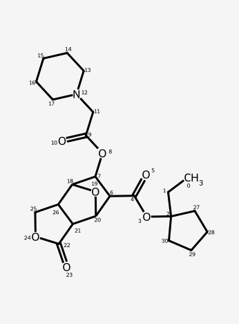 CCC1(OC(=O)C2C(OC(=O)CN3CCCCC3)C3OC2C2C(=O)OCC32)CCCC1